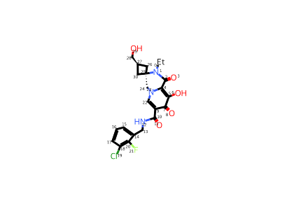 CCN1C(=O)c2c(O)c(=O)c(C(=O)NCc3cccc(Cl)c3F)cn2C[C@]12C[C@H](CO)C2